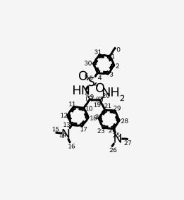 Cc1ccc(S(=O)(=O)N[C@@H](c2ccc(N(C)C)cc2)[C@@H](N)c2ccc(N(C)C)cc2)cc1